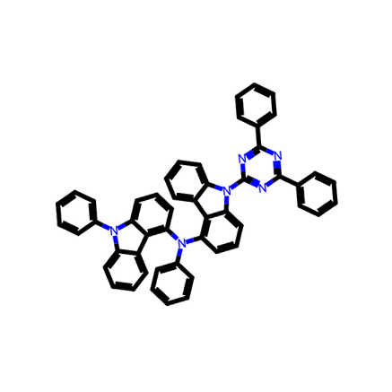 c1ccc(-c2nc(-c3ccccc3)nc(-n3c4ccccc4c4c(N(c5ccccc5)c5cccc6c5c5ccccc5n6-c5ccccc5)cccc43)n2)cc1